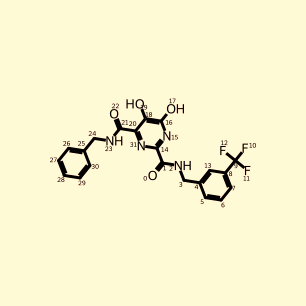 O=C(NCc1cccc(C(F)(F)F)c1)c1nc(O)c(O)c(C(=O)NCc2ccccc2)n1